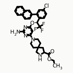 CCOC(=O)C1CC2(CCN(c3cc(O[C@H](c4ccc(Cl)cc4-c4ccc5ccccc5c4)C(F)(F)F)nc(N)n3)CC2)CN1